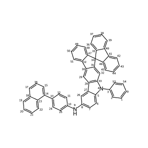 c1ccc(-n2c3ccc(Nc4ccc(-c5cccc6ccccc56)cc4)cc3c3cc4c(cc32)C2(c3ccccc3-c3ccccc32)c2ccccc2-4)cc1